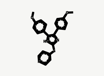 COc1ccc(-c2nc(Sc3ccncc3)[nH]c2-c2ccc(OC)cc2)cc1